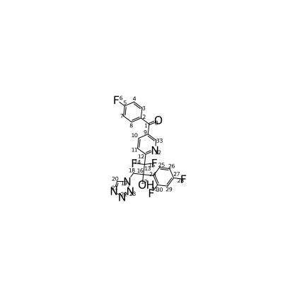 O=C(c1ccc(F)cc1)c1ccc(C(F)(F)C(O)(Cn2cnnn2)c2ccc(F)cc2F)nc1